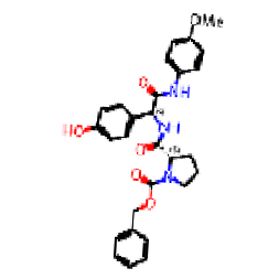 COc1ccc(NC(=O)[C@@H](NC(=O)[C@@H]2CCCN2C(=O)OCc2ccccc2)c2ccc(O)cc2)cc1